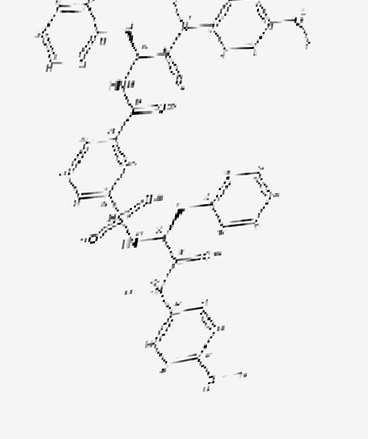 COc1ccc(N(C)C(=O)[C@H](Cc2ccccc2)NC(=O)c2cccc(S(=O)(=O)N[C@@H](Cc3ccccc3)C(=O)N(C)c3ccc(OC)cc3)c2)cc1